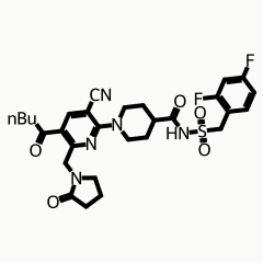 CCCCC(=O)c1cc(C#N)c(N2CCC(C(=O)NS(=O)(=O)Cc3ccc(F)cc3F)CC2)nc1CN1CCCC1=O